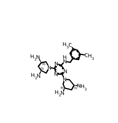 Cc1cc(C)cc(CNc2nc(N3C[C@H](N)C[C@H](N)C3)nc(N3C[C@H](N)C[C@H](N)C3)n2)c1